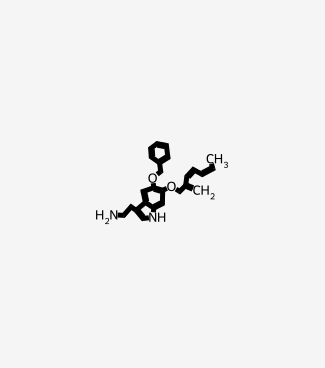 C=C(/C=C\C=C/C)COc1cc2[nH]cc(CCN)c2cc1OCc1ccccc1